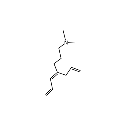 C=C/C=C(\CC=C)CCCN(C)C